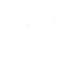 O=Cc1c([N+](=O)[O-])cc2c(c1Br)OCO2